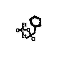 CCP(=O)(CC)OC(C)(Cl)Cc1ccccc1